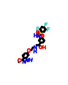 COc1n[nH]c2cc(OCCNC[C@H](O)c3cccc(NS(=O)(=O)c4cc(F)c(F)cc4F)c3)ccc12